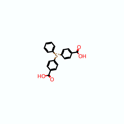 O=C(O)c1ccc([S+](c2ccccc2)c2ccc(C(=O)O)cc2)cc1